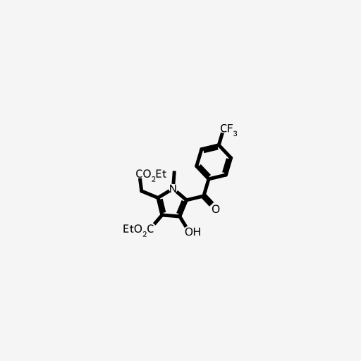 CCOC(=O)Cc1c(C(=O)OCC)c(O)c(C(=O)c2ccc(C(F)(F)F)cc2)n1C